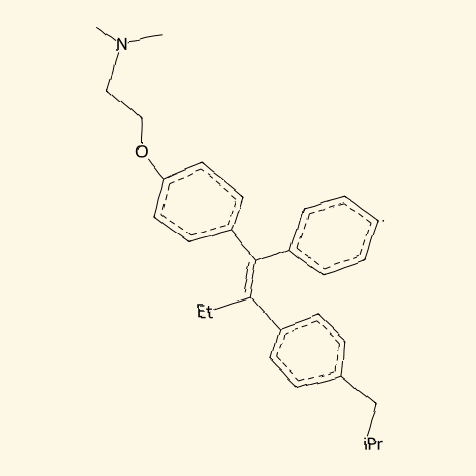 CC/C(=C(/c1cc[c]cc1)c1ccc(OCCN(C)C)cc1)c1ccc(CC(C)C)cc1